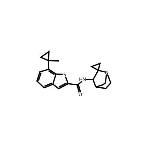 CC1(c2cccc3cc(C(=O)NC4C5CCN(CC5)C45CC5)sc23)CC1